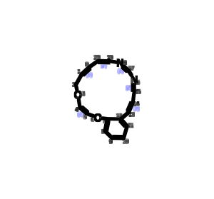 C1=C/CO/C=C\Oc2ccccc2\C=C/C=N\C=N/C=C\1